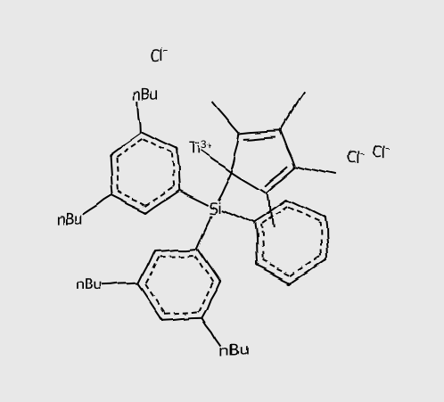 CCCCc1cc(CCCC)cc([Si](c2ccccc2)(c2cc(CCCC)cc(CCCC)c2)[C]2([Ti+3])C(C)=C(C)C(C)=C2C)c1.[Cl-].[Cl-].[Cl-]